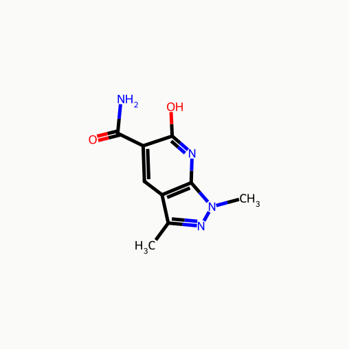 Cc1nn(C)c2nc(O)c(C(N)=O)cc12